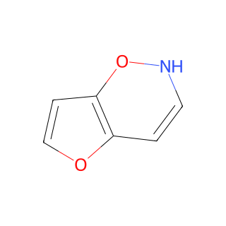 C1=Cc2occc2ON1